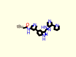 CC(C)(C)CC(=O)Nc1cncc(-c2ccc3[nH]nc(-c4nc5c(-c6ccccn6)cncc5[nH]4)c3c2)c1